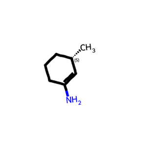 C[C@@H]1C=C(N)CCC1